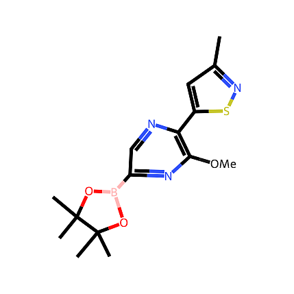 COc1nc(B2OC(C)(C)C(C)(C)O2)cnc1-c1cc(C)ns1